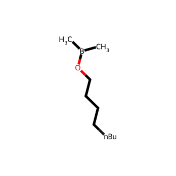 CCCCCCCCOB(C)C